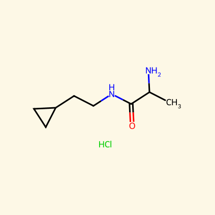 CC(N)C(=O)NCCC1CC1.Cl